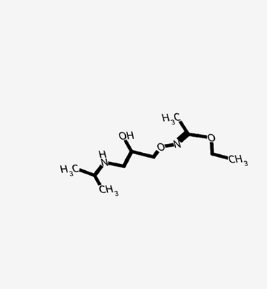 CCOC(C)=NOCC(O)CNC(C)C